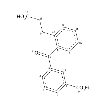 CCOC(=O)c1cccc(C(=O)c2ccccc2CCC(=O)O)c1